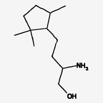 CC1CCC(C)(C)C1CCC(N)CO